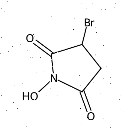 O=C1CC(Br)C(=O)N1O